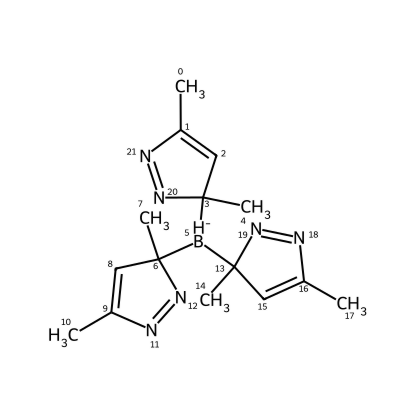 CC1=CC(C)([BH-](C2(C)C=C(C)N=N2)C2(C)C=C(C)N=N2)N=N1